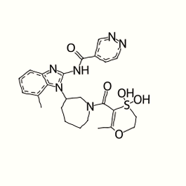 CC1=C(C(=O)N2CCCCC(n3c(NC(=O)c4ccnnc4)nc4cccc(C)c43)C2)S(O)(O)CCO1